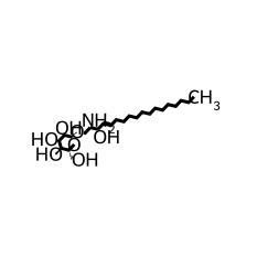 CCCCCCCCCCCCCC=CC(O)C(N)CO[C@@H]1O[C@H](CO)[C@@H](O)[C@H](O)[C@H]1O